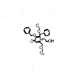 COCOCc1cc(=O)c(OCc2ccccc2)c(C(OCOC)c2ccccc2)n1CCO